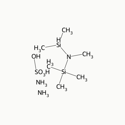 CN([SiH](C)C)[Si](C)(C)C.N.N.O=S(=O)(O)O